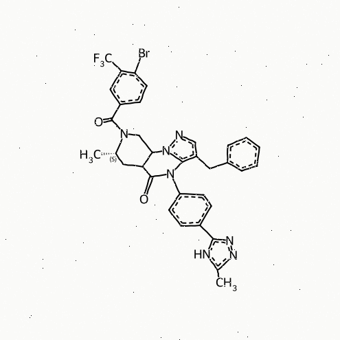 Cc1nnc(-c2ccc(N3C(=O)C4C[C@H](C)N(C(=O)c5ccc(Br)c(C(F)(F)F)c5)CC4n4ncc(Cc5ccccc5)c43)cc2)[nH]1